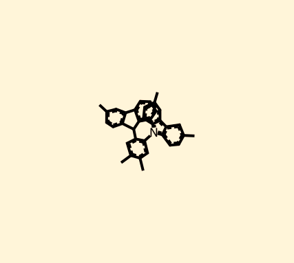 Cc1ccc2c(c1)-c1ccccc1C2c1cc(C)c(C)cc1-n1c2ccc(C)cc2c2cc(C)ccc21